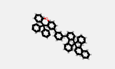 c1ccc(C2(c3ccccc3)c3ccccc3Oc3ccc(-c4cccc(-c5cccc6c5-c5ccccc5C65c6ccccc6-c6c5ccc5ccccc65)c4)cc32)cc1